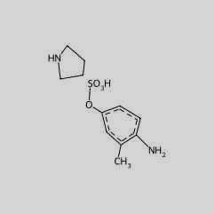 C1CCNC1.Cc1cc(OS(=O)(=O)O)ccc1N